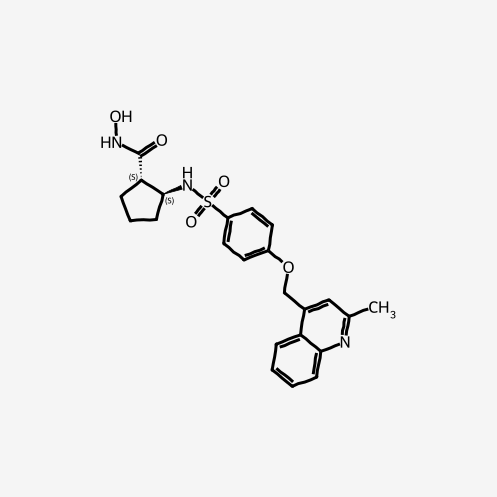 Cc1cc(COc2ccc(S(=O)(=O)N[C@H]3CCC[C@@H]3C(=O)NO)cc2)c2ccccc2n1